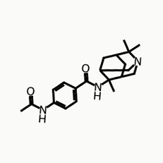 CC(=O)Nc1ccc(C(=O)NC2(C)C3CC4CC2CN(C3)C4(C)C)cc1